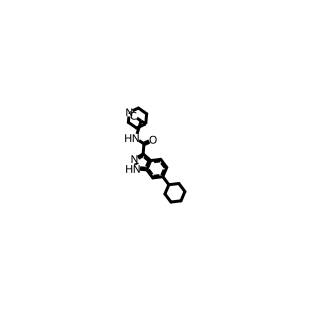 O=C(NC1CN2CCC1CC2)c1n[nH]c2cc(C3CCCCC3)ccc12